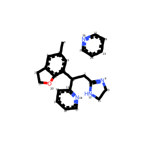 Cc1cc2c(c(C(CC3=NCCN3)c3ccccn3)c1)OCC2.c1ccncc1